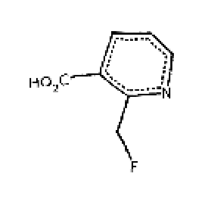 O=C(O)c1cccnc1CF